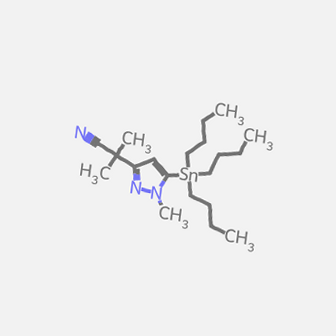 CCC[CH2][Sn]([CH2]CCC)([CH2]CCC)[c]1cc(C(C)(C)C#N)nn1C